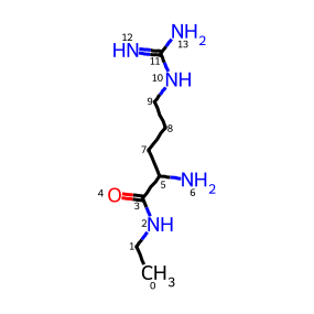 CCNC(=O)C(N)CCCNC(=N)N